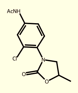 CC(=O)Nc1ccc(N2CC(C)OC2=O)c(Cl)c1